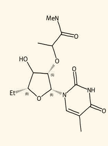 CC[C@H]1O[C@@H](n2cc(C)c(=O)[nH]c2=O)[C@@H](OC(C)C(=O)NC)C1O